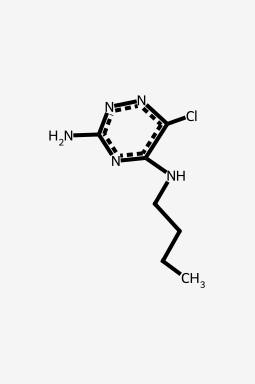 CCCCNc1nc(N)nnc1Cl